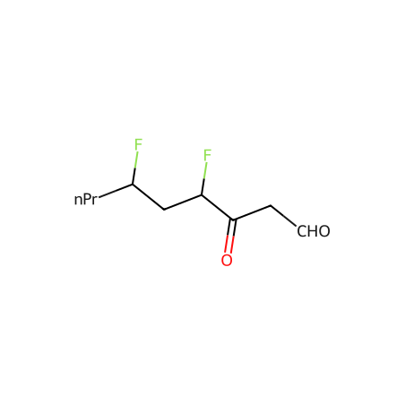 CCCC(F)CC(F)C(=O)CC=O